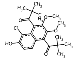 COc1c(OC)c(C(=O)C(C)(C)C)c2c(Cl)c(O)ccc2c1C(=O)C(C)(C)C